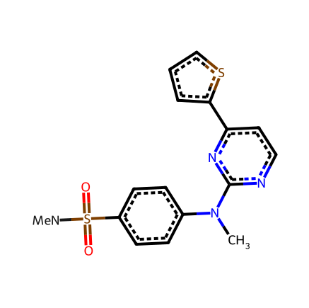 CNS(=O)(=O)c1ccc(N(C)c2nccc(-c3cccs3)n2)cc1